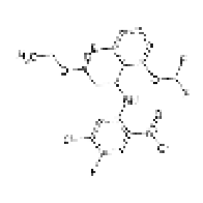 CCOC(=O)C[C@@H](Nc1cc(Cl)c(F)cc1[N+](=O)[O-])c1c(Br)cccc1OC(F)F